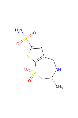 C[C@@H]1CS(=O)(=O)c2sc(S(N)(=O)=O)cc2CN1